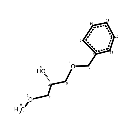 COC[C@H](O)COCc1ccccc1